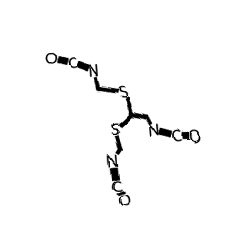 O=C=NCSC(CN=C=O)SCN=C=O